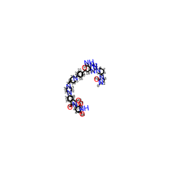 CN1CCN([C@@H]2CCCN(c3nnc(C(N)=O)c(CCc4ccc(N5CCC(CN6CCN(c7ccc8c(c7)C(=O)N(C7CCC(=O)NC7=O)C8=O)CC6)CC5)cc4)n3)C2)C1=O